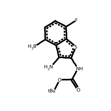 Bc1ccc(F)c2sc(NC(=O)OC(C)(C)C)c(N)c12